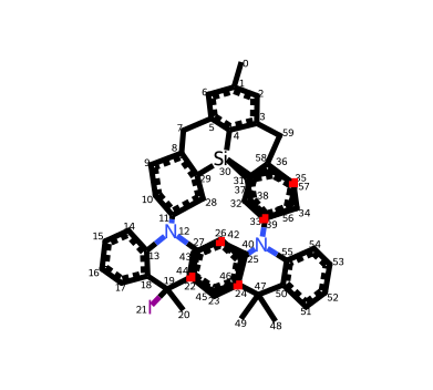 Cc1cc2c3c(c1)Cc1ccc(N4c5ccccc5C(C)(I)c5ccccc54)cc1[Si]3(c1ccccc1)c1cc(N3c4ccccc4C(C)(C)c4ccccc43)ccc1C2